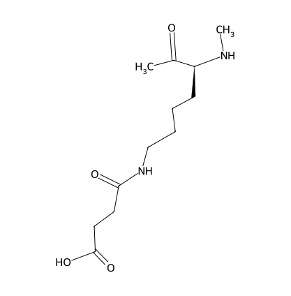 CN[C@@H](CCCCNC(=O)CCC(=O)O)C(C)=O